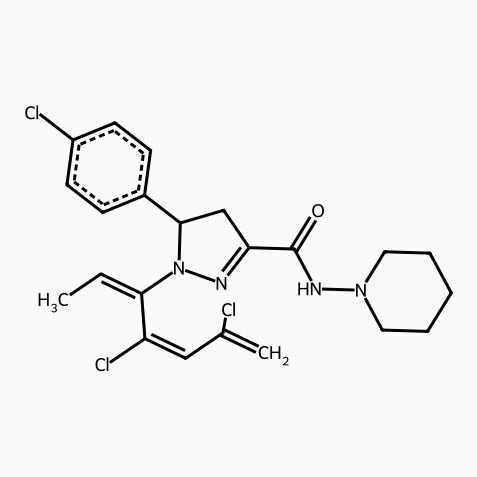 C=C(Cl)/C=C(Cl)\C(=C/C)N1N=C(C(=O)NN2CCCCC2)CC1c1ccc(Cl)cc1